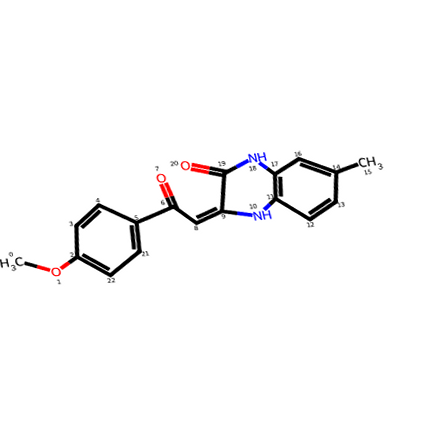 COc1ccc(C(=O)C=C2Nc3ccc(C)cc3NC2=O)cc1